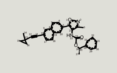 Cc1noc(-c2ccc3cc(C#CC4(C)CC4)ccc3c2)c1NC(=O)O[C@H](C)c1ccccc1